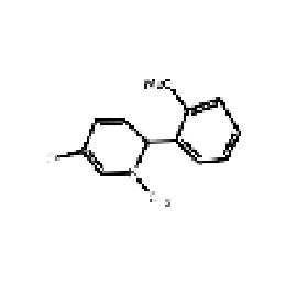 COc1ccccc1C1C=CC(Cl)=CN1C